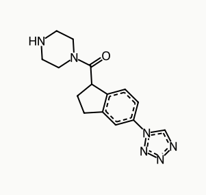 O=C(C1CCc2cc(-n3cnnn3)ccc21)N1CCNCC1